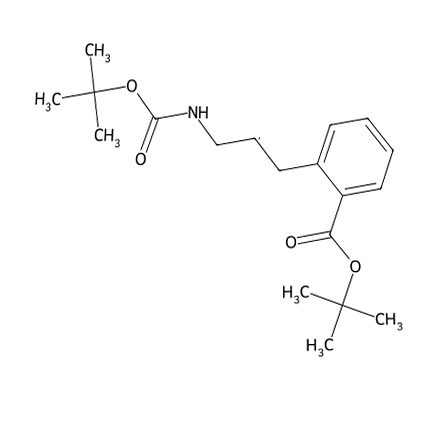 CC(C)(C)OC(=O)NC[CH]Cc1ccccc1C(=O)OC(C)(C)C